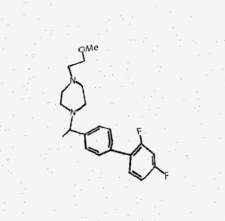 COCCN1CCN(C(C)c2ccc(-c3ccc(F)cc3F)cc2)CC1